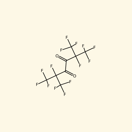 O=C(C(=O)C(F)(C(F)(F)F)C(F)(F)F)C(F)(C(F)(F)F)C(F)(F)F